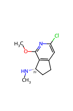 CN[C@H]1CCc2cc(Cl)nc(OC)c21